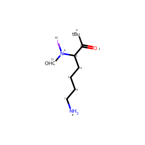 CC(C)(C)C(=O)C(CCCCN)N(I)C=O